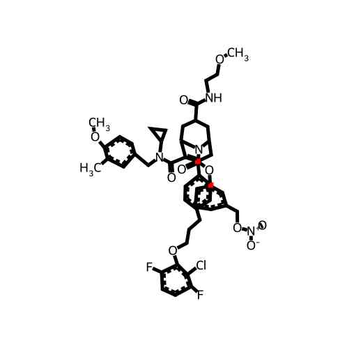 COCCNC(=O)C1CC2CC(c3ccc(CCCOc4c(F)ccc(F)c4Cl)cc3)=C(C(=O)N(Cc3ccc(OC)c(C)c3)C3CC3)C(C1)N2C(=O)Oc1cccc(CO[N+](=O)[O-])c1